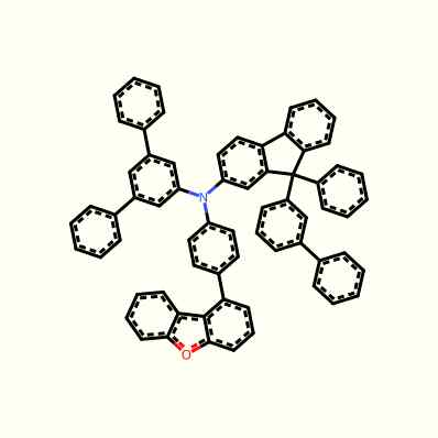 c1ccc(-c2cc(-c3ccccc3)cc(N(c3ccc(-c4cccc5oc6ccccc6c45)cc3)c3ccc4c(c3)C(c3ccccc3)(c3cccc(-c5ccccc5)c3)c3ccccc3-4)c2)cc1